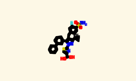 NS(=O)(=O)c1ccc(Cc2c(C3(C(F)(F)F)CC3)nn(-c3nc(C(O)O)cs3)c2-c2cccc(-c3ccccc3)c2)cc1F